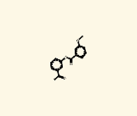 COc1cccc(C(=O)Oc2cccc(C(C)=O)c2)c1